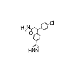 NC(=O)CC(c1ccc(Cl)cc1)c1ccc(-c2cn[nH]c2)cc1